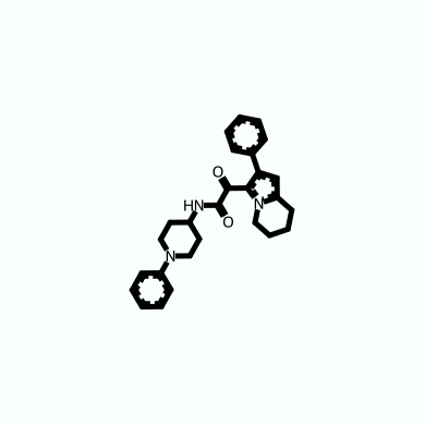 O=C(NC1CCN(c2ccccc2)CC1)C(=O)c1c(-c2ccccc2)cc2n1CCCC2